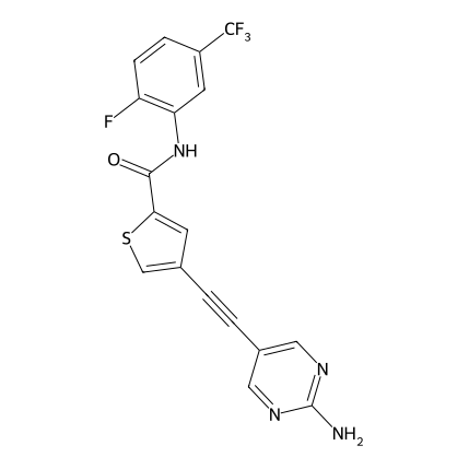 Nc1ncc(C#Cc2csc(C(=O)Nc3cc(C(F)(F)F)ccc3F)c2)cn1